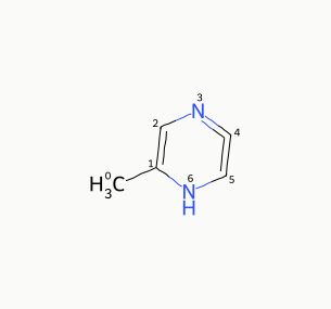 CC1=CN=C=CN1